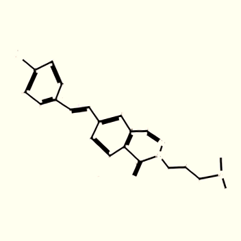 CN(C)CCCn1ncc2cc(/C=C/c3ccc(O)cc3)ccc2c1=O.Cl